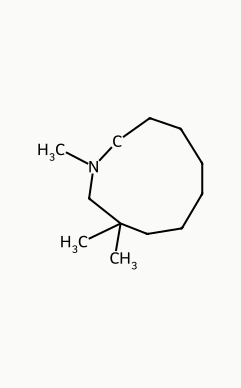 CN1CCCCCCCC(C)(C)C1